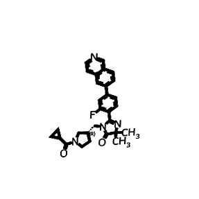 CC1(C)N=C(c2ccc(-c3ccc4cnccc4c3)cc2F)N(C[C@@H]2CCN(C(=O)C3CC3)C2)C1=O